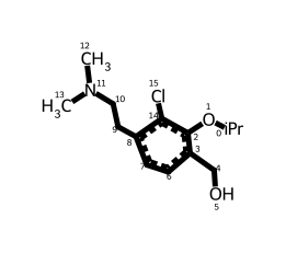 CC(C)Oc1c(CO)ccc(CCN(C)C)c1Cl